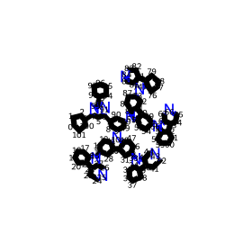 c1ccc(-c2cc(-c3cc(-n4c5ccc(-n6c7ccccc7c7ccncc76)cc5c5cc(-n6c7ccccc7c7ccncc76)ccc54)cc(-n4c5ccc(-n6c7ccccc7c7ccncc76)cc5c5cc(-n6c7ccccc7c7ccncc76)ccc54)c3)nc(-c3ccccc3)n2)cc1